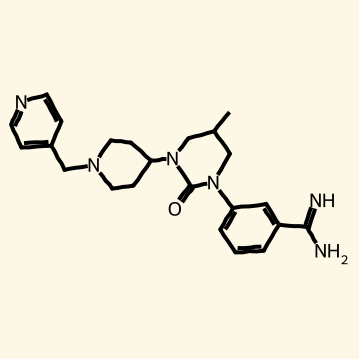 CC1CN(c2cccc(C(=N)N)c2)C(=O)N(C2CCN(Cc3ccncc3)CC2)C1